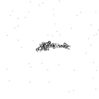 C[C@@H]1C[C@H]2[C@@H]3CCC4=CC(=O)C=C[C@]4(C)[C@@]3(F)[C@@H](O)C[C@]2(C)[C@@]1(O)C(=O)COC(=O)CCCCCNC(=O)OC(C)(C)C